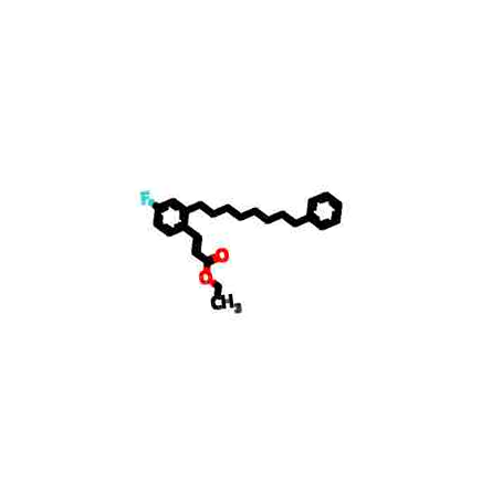 CCOC(=O)C=Cc1ccc(F)cc1CCCCCCCCc1ccccc1